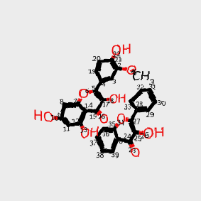 COc1cc(-c2oc3cc(O)cc(O)c3c(=O)c2O)ccc1O.O=c1c(O)c(-c2ccccc2)oc2ccccc12